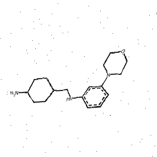 NC1CCC(CNc2cccc(N3CCOCC3)c2)CC1